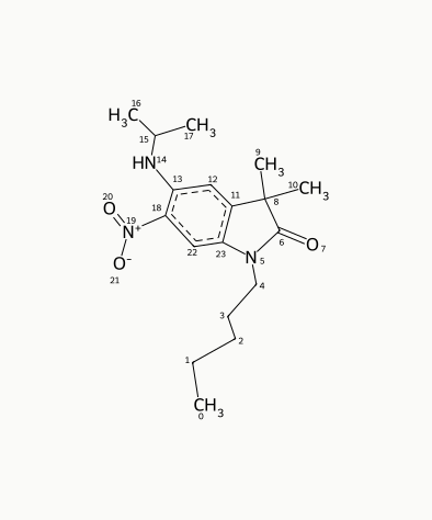 CCCCCN1C(=O)C(C)(C)c2cc(NC(C)C)c([N+](=O)[O-])cc21